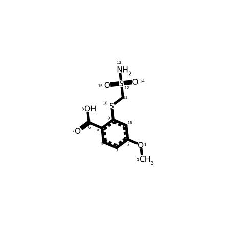 COc1ccc(C(=O)O)c(SCS(N)(=O)=O)c1